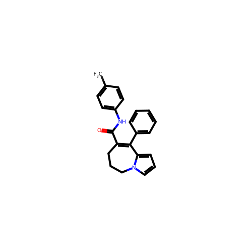 O=C(Nc1ccc(C(F)(F)F)cc1)C1=C(c2ccccc2)c2cccn2CCC1